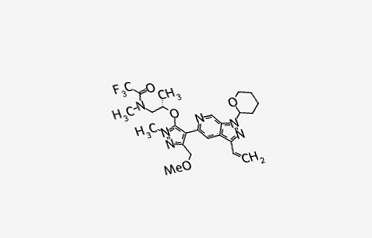 C=Cc1nn(C2CCCCO2)c2cnc(-c3c(COC)nn(C)c3O[C@@H](C)CN(C)C(=O)C(F)(F)F)cc12